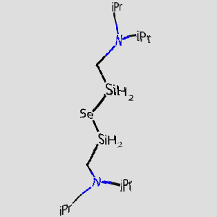 CC(C)N(C[SiH2][Se][SiH2]CN(C(C)C)C(C)C)C(C)C